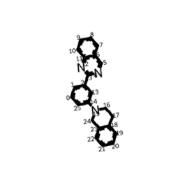 c1cc(-c2ncc3ccccc3n2)cc(N2CCc3ccccc3C2)c1